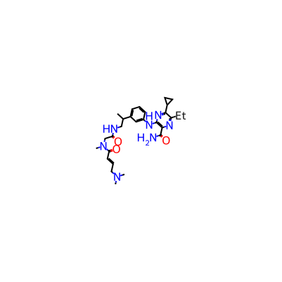 CCc1nc(C(N)=O)c(Nc2cccc(C(C)CNC(=O)CN(C)C(=O)C=CCN(C)C)c2)nc1C1CC1